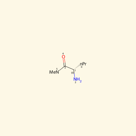 CCC[C@H](N)C(=O)NC